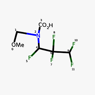 COCN(C(=O)O)C(F)C(F)(F)C(F)F